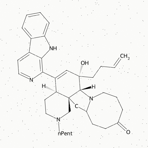 C=CCC[C@]1(O)C=C(c2nccc3c2[nH]c2ccccc23)[C@@H]2CCN(CCCCC)C[C@@]23CC2CCC(=O)CCCN2[C@H]31